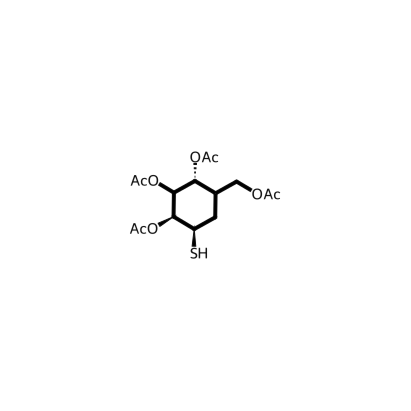 CC(=O)OCC1C[C@@H](S)[C@@H](OC(C)=O)C(OC(C)=O)[C@@H]1OC(C)=O